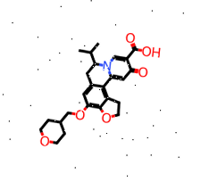 CC(C)C1Cc2cc(OCC3CCOCC3)c3c(c2-c2cc(=O)c(C(=O)O)cn21)CCO3